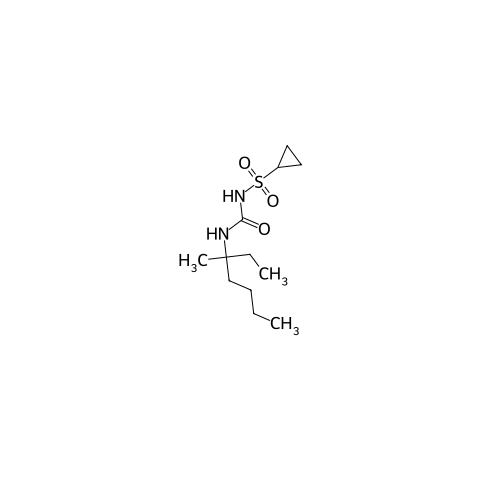 CCCCC(C)(CC)NC(=O)NS(=O)(=O)C1CC1